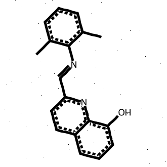 Cc1cccc(C)c1N=Cc1ccc2cccc(O)c2n1